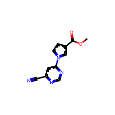 COC(=O)c1ccn(-c2cc(C#N)ncn2)c1